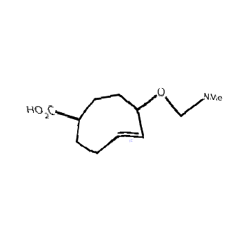 CNCOC1/C=C/CCC(C(=O)O)CC1